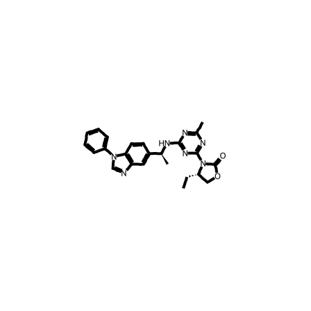 CC[C@H]1COC(=O)N1c1nc(C)nc(N[C@@H](C)c2ccc3c(c2)ncn3-c2ccccc2)n1